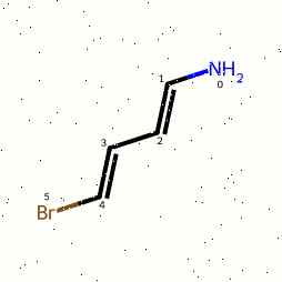 NC=CC=CBr